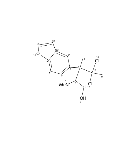 CNC(CO)C(C)(c1ccc2occc2c1)C(C)(Cl)Cl